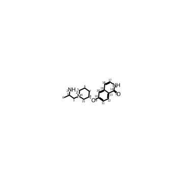 CC(N)CN1CCC[C@H](Oc2ccc3c(=O)[nH]ccc3c2)C1